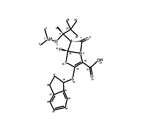 C[SiH](C)O[C@@](C)([C@@H]1C(=O)N2C(C(=O)O)=C(SC3CCc4ccccc43)S[C@H]12)C(C)(C)C